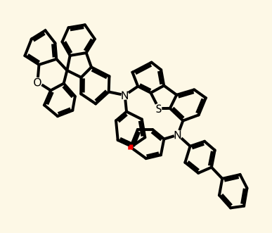 c1ccc(-c2ccc(N(c3ccccc3)c3cccc4c3sc3c(N(c5ccccc5)c5ccc6c(c5)-c5ccccc5C65c6ccccc6Oc6ccccc65)cccc34)cc2)cc1